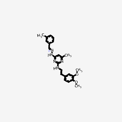 COc1ccc(CCNc2nc(C)cc(N/N=C/c3cccc(C)c3)n2)cc1OC